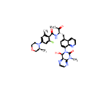 COC(=O)[C@H](Cc1ccc(N2C(=O)N(C)c3nccnc3C2O)c2ncccc12)NC(=O)c1c(C)cc(N2CCOC[C@@H]2C(F)(F)F)cc1F